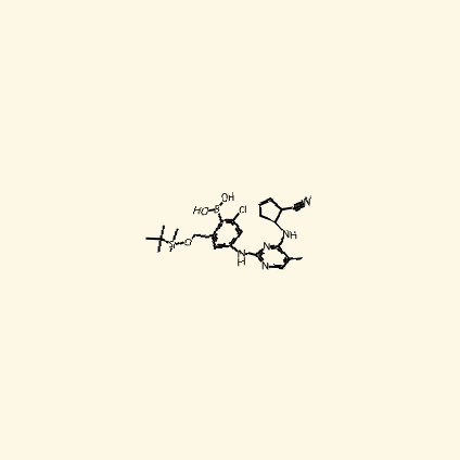 Cc1cnc(Nc2cc(Cl)c(B(O)O)c(CO[Si](C)(C)C(C)(C)C)c2)nc1NC1CCCC1C#N